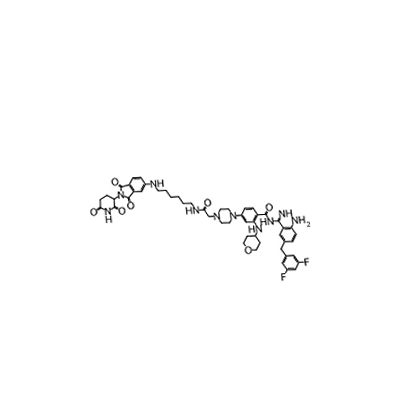 N=C(NC(=O)c1ccc(N2CCN(CC(=O)NCCCCCCNc3ccc4c(c3)C(=O)N(C3CCC(=O)NC3=O)C4=O)CC2)cc1NC1CCOCC1)c1cc(Cc2cc(F)cc(F)c2)ccc1N